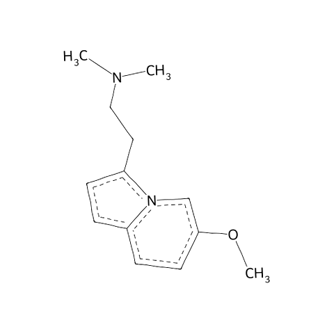 COc1ccc2ccc(CCN(C)C)n2c1